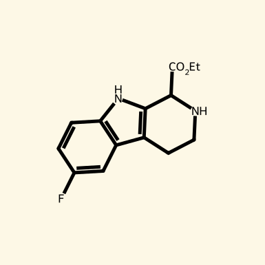 CCOC(=O)C1NCCc2c1[nH]c1ccc(F)cc21